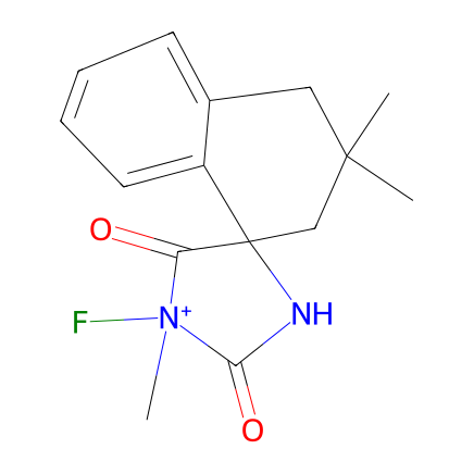 CC1(C)Cc2ccccc2C2(C1)NC(=O)[N+](C)(F)C2=O